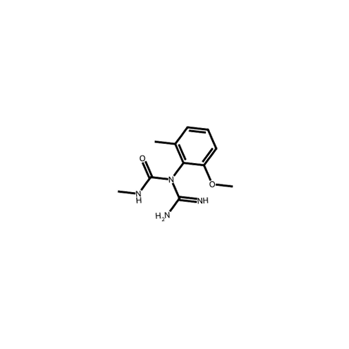 CNC(=O)N(C(=N)N)c1c(C)cccc1OC